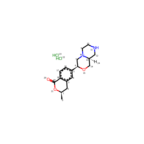 C[C@@H]1Cc2cc([C@H]3CN4CCNC[C@H]4CO3)ccc2C(=O)O1.Cl.Cl